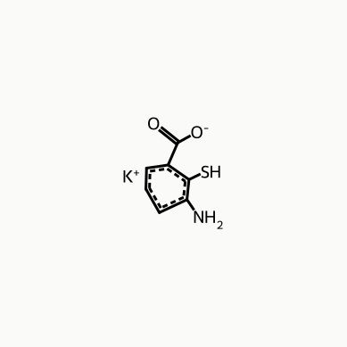 Nc1cccc(C(=O)[O-])c1S.[K+]